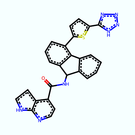 O=C(NC1c2ccccc2-c2c(-c3ccc(-c4nnn[nH]4)s3)cccc21)c1ccnc2[nH]ccc12